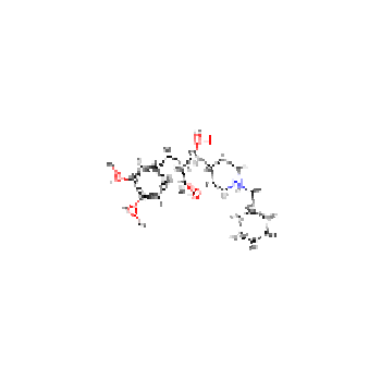 COc1cc2c(cc1OC)C(=O)[C@H]([C@@H](O)C1CCN(Cc3ccccc3)CC1)C2